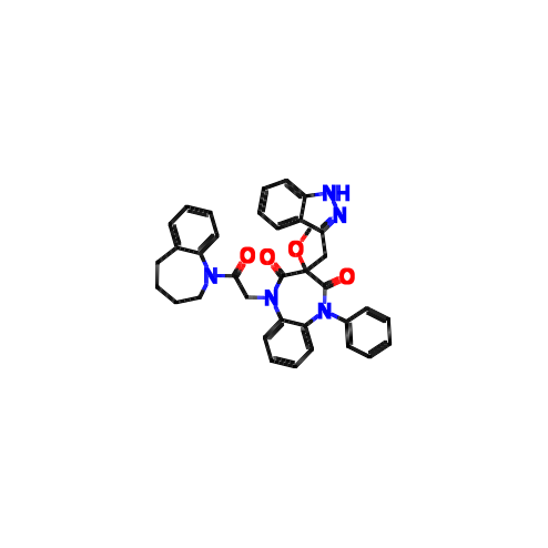 COC1(Cc2n[nH]c3ccccc23)C(=O)N(CC(=O)N2CCCCc3ccccc32)c2ccccc2N(c2ccccc2)C1=O